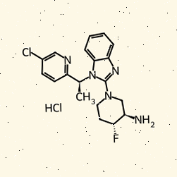 C[C@@H](c1ccc(Cl)cn1)n1c(N2CC[C@@H](F)[C@H](N)C2)nc2ccccc21.Cl